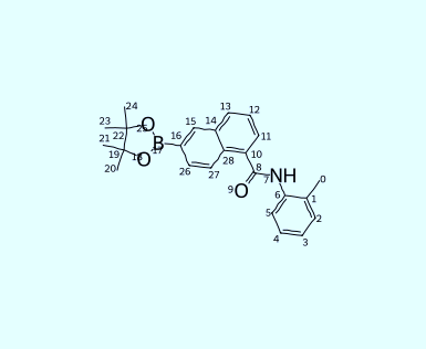 Cc1ccccc1NC(=O)c1cccc2cc(B3OC(C)(C)C(C)(C)O3)ccc12